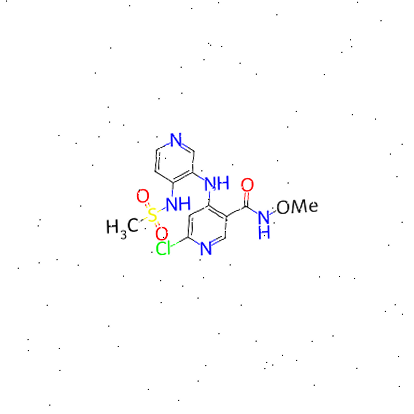 CONC(=O)c1cnc(Cl)cc1Nc1cnccc1NS(C)(=O)=O